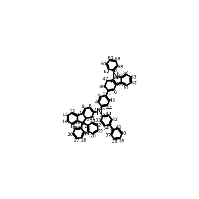 C1=C(c2ccc(N(C3=CC=C4c5ccccc5C(c5ccccc5)(c5ccccc5)C4C3)c3ccc(-c4ccccc4)cc3)cc2)CCc2c1c1ccccc1n2-c1ccccc1